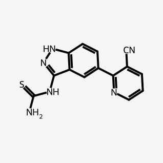 N#Cc1cccnc1-c1ccc2[nH]nc(NC(N)=S)c2c1